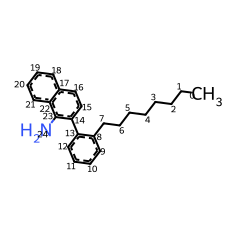 CCCCCCCCc1ccccc1-c1ccc2ccccc2c1N